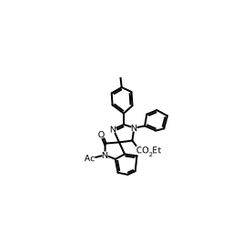 CCOC(=O)C1N(c2ccccc2)C(c2ccc(C)cc2)=NC12C(=O)N(C(C)=O)c1ccccc12